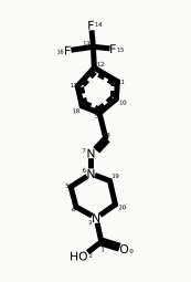 O=C(O)N1CCN(N=Cc2ccc(C(F)(F)F)cc2)CC1